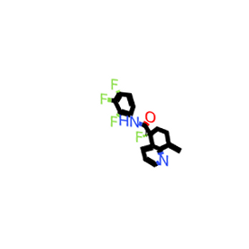 C=C1CC[C@@](F)(C(=O)Nc2ccc(F)c(F)c2F)c2cccnc21